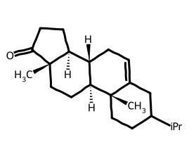 CC(C)C1CC[C@@]2(C)C(=CC[C@@H]3[C@@H]2CC[C@]2(C)C(=O)CC[C@@H]32)C1